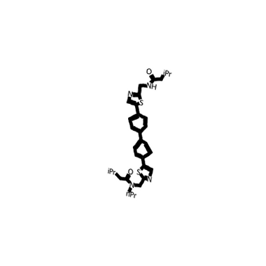 CCCN(Cc1ncc(-c2ccc(-c3ccc(-c4cnc(CNC(=O)CC(C)C)s4)cc3)cc2)s1)C(=O)CC(C)C